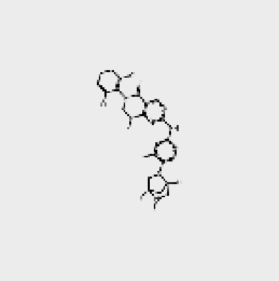 Cc1cc(Nc2ncc3c(n2)N(C)CN(C2=C(Cl)CCC=C2Cl)C3=O)ccc1N1C[C@@H]2C[C@H]1CN2C